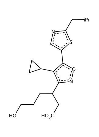 CC(C)Cc1ncc(-c2onc(C(CCCO)CC(=O)O)c2C2CC2)s1